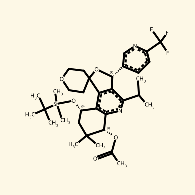 CC(=O)O[C@H]1c2nc(C(C)C)c3c(c2[C@@H](O[Si](C)(C)C(C)(C)C)CC1(C)C)C1(CCOCC1)O[C@@H]3c1ccc(C(F)(F)F)nc1